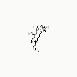 CCCCC(O)CCN.CCCCCCCCCOS(=O)(=O)O